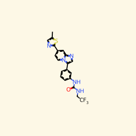 Cc1cnc(-c2ccn3c(-c4cccc(NC(=O)NCC(F)(F)F)c4)cnc3c2)s1